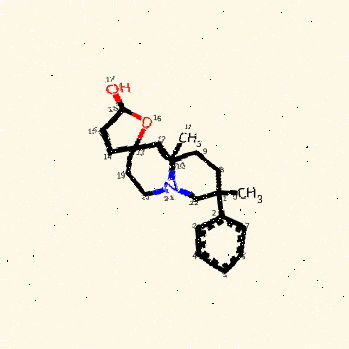 CC1(c2ccccc2)CCC2(C)CC3(CCC(O)O3)CCN2C1